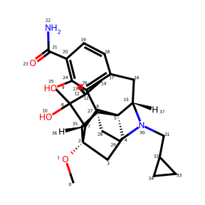 CO[C@@]12CC[C@]3(C[C@H]1C(C)(O)C(C)(C)C)[C@@H]1Cc4ccc(C(N)=O)c(O)c4[C@]3(CCN1CC1CC1)C2